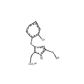 CCCSc1nc(Cc2ccccc2Cl)c(CC(=O)O)[nH]1